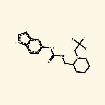 O=C(NCC1CCCCN1CC(F)(F)F)Nc1cnc2[nH]ccc2n1